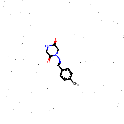 Cc1ccc(C=NN2CC(=O)NCC2=O)cc1